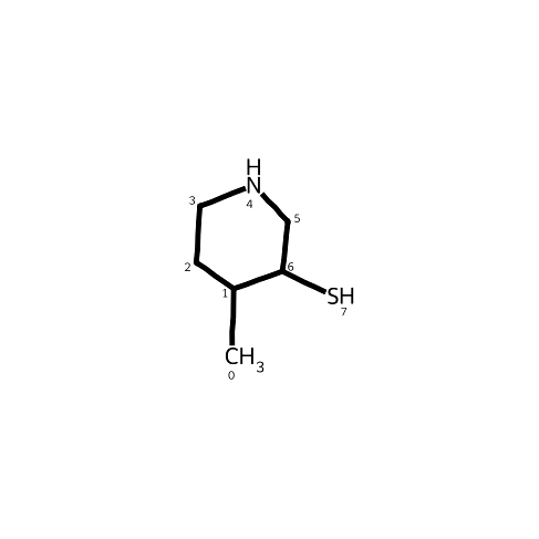 CC1CCNCC1S